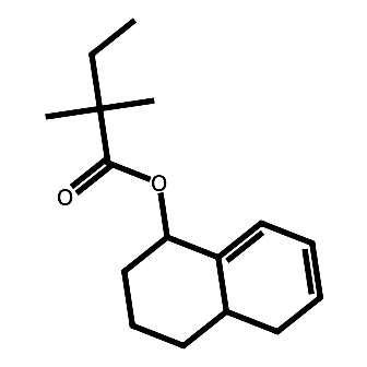 CCC(C)(C)C(=O)OC1CCCC2CC=CC=C21